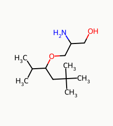 CC(C)C(CC(C)(C)C)OCC(N)CO